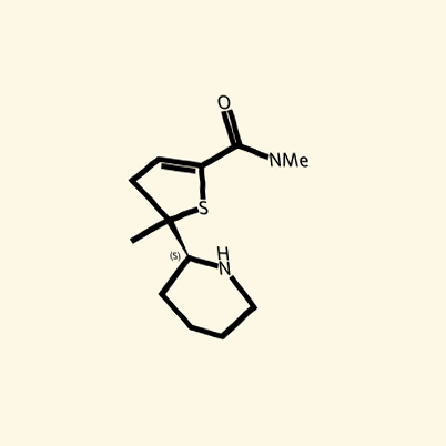 CNC(=O)C1=CCC(C)([C@@H]2CCCCN2)S1